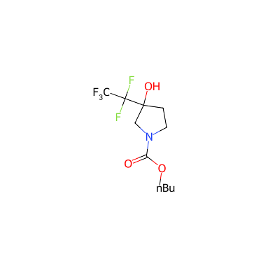 CCCCOC(=O)N1CCC(O)(C(F)(F)C(F)(F)F)C1